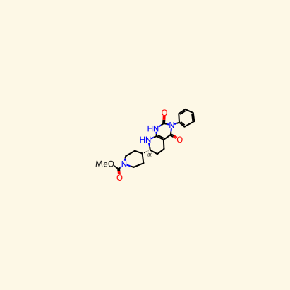 COC(=O)N1CCC([C@H]2CCc3c([nH]c(=O)n(-c4ccccc4)c3=O)N2)CC1